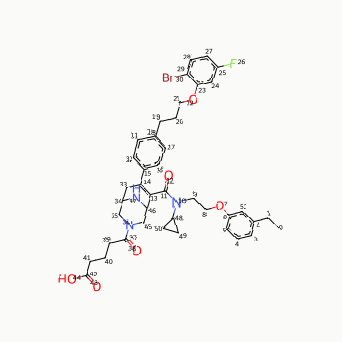 CCc1cccc(OCCN(C(=O)C2=C(c3ccc(CCCOc4cc(F)ccc4Br)cc3)CC3CN(C(=O)CCCC(=O)O)CC2N3)C2CC2)c1